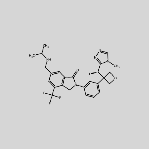 CC(C)NCc1cc2c(c(C(F)(F)F)c1)CN(c1cccc(C3([C@@H](F)c4nncn4C)COC3)c1)C2=O